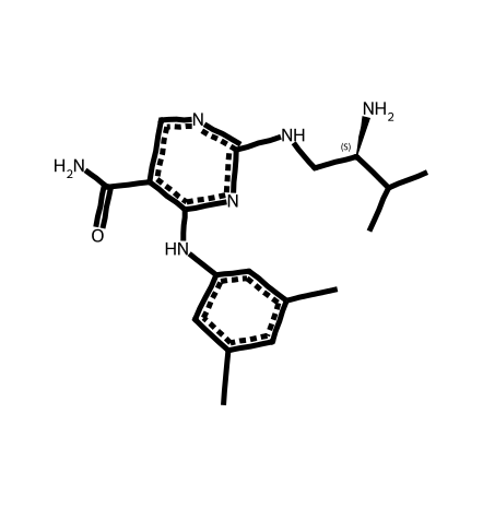 Cc1cc(C)cc(Nc2nc(NC[C@@H](N)C(C)C)ncc2C(N)=O)c1